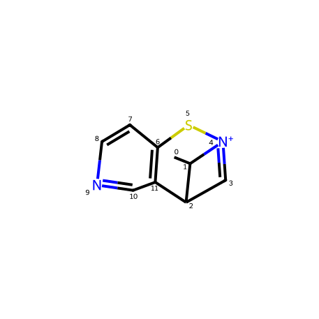 CC1C2C=[N+]1Sc1ccncc12